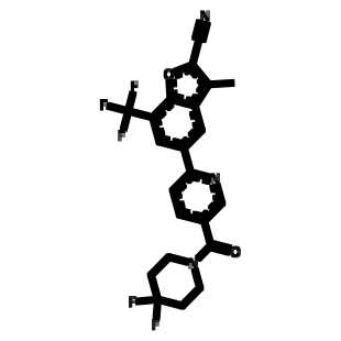 Cc1c(C#N)oc2c(C(F)(F)F)cc(-c3ccc(C(=O)N4CCC(F)(F)CC4)cn3)cc12